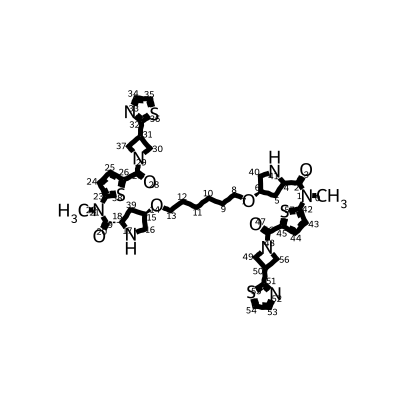 CN(C(=O)C1C[C@@H](OCCCCCCO[C@H]2CN[C@H](C(=O)N(C)c3ccc(C(=O)N4CC(c5nccs5)C4)s3)C2)CN1)c1ccc(C(=O)N2CC(c3nccs3)C2)s1